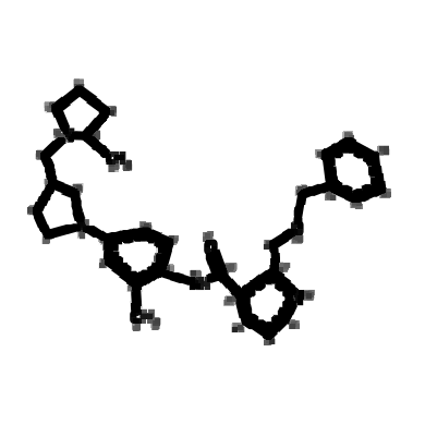 Cc1cc(N2CCC(CN3CCCC3C)C2)ccc1NC(=O)c1cccnc1COCc1ccccc1